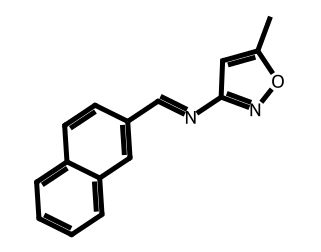 Cc1cc(N=Cc2ccc3ccccc3c2)no1